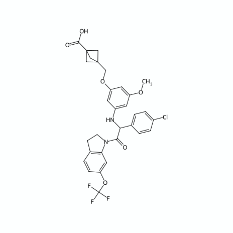 COc1cc(NC(C(=O)N2CCc3ccc(OC(F)(F)F)cc32)c2ccc(Cl)cc2)cc(OCC23CC(C(=O)O)(C2)C3)c1